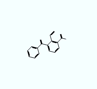 C=Cc1c(C([O])=O)cccc1C(=O)c1ccccc1